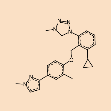 Cc1cc(-c2ccn(C)n2)ccc1OCc1c(C2CC2)cccc1N1CN(C)N=N1